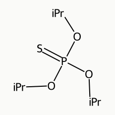 CC(C)OP(=S)(OC(C)C)OC(C)C